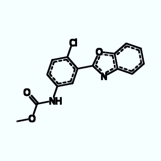 COC(=O)Nc1ccc(Cl)c(-c2nc3ccccc3o2)c1